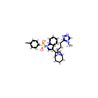 Cc1ccc(S(=O)(=O)n2cc(C3CC4CCCC3N4CCCc3nncn3C(C)C)c3ccccc32)cc1